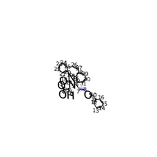 C[C@@H](C(=O)O)N(C/C=C/OCc1ccccc1)C(=O)N1c2ccccc2C=Cc2ccccc21